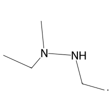 [CH2]CNN(C)CC